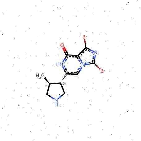 C[C@@H]1CNC[C@H]1c1cn2c(Br)nc(Br)c2c(=O)[nH]1